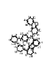 c1ccc(-c2ccc(N(c3ccc4oc5ccccc5c4c3)c3cccc4c3sc3c(-c5ccccc5)cccc34)cc2)cc1